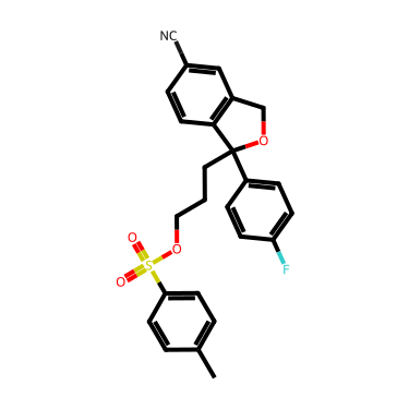 Cc1ccc(S(=O)(=O)OCCCC2(c3ccc(F)cc3)OCc3cc(C#N)ccc32)cc1